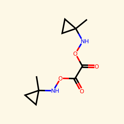 CC1(NOC(=O)C(=O)ONC2(C)CC2)CC1